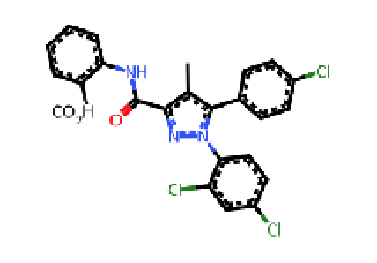 Cc1c(C(=O)Nc2ccccc2C(=O)O)nn(-c2ccc(Cl)cc2Cl)c1-c1ccc(Cl)cc1